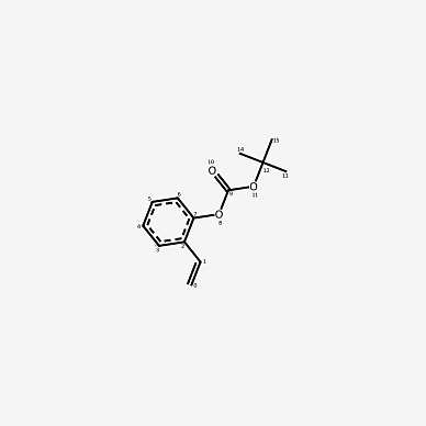 C=Cc1[c]cccc1OC(=O)OC(C)(C)C